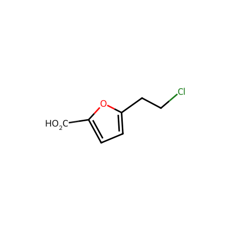 O=C(O)c1ccc(CCCl)o1